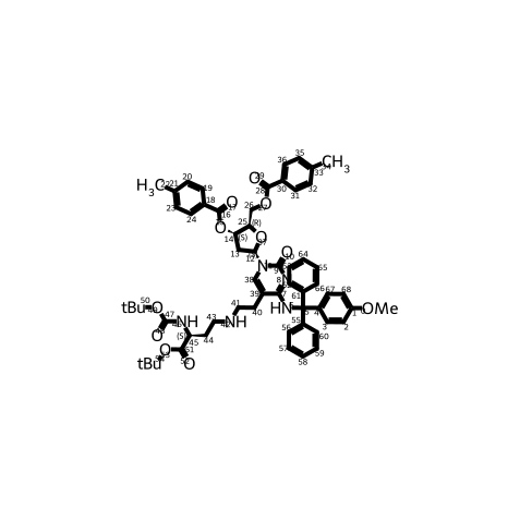 COc1ccc(C(Nc2nc(=O)n([C@@H]3C[C@H](OC(=O)c4ccc(C)cc4)[C@@H](COC(=O)c4ccc(C)cc4)O3)cc2CCNCC[C@H](NC(=O)OC(C)(C)C)C(=O)OC(C)(C)C)(c2ccccc2)c2ccccc2)cc1